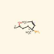 C/C=C\[C@@](C)(P)CCC(O)CC